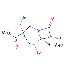 COC(=O)C1(CBr)CN2C(=O)C(NC=O)[C@H]2[S+]([O-])C1